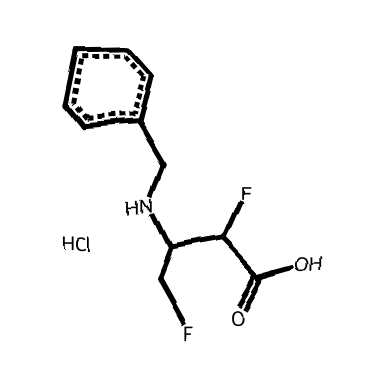 Cl.O=C(O)C(F)C(CF)NCc1ccccc1